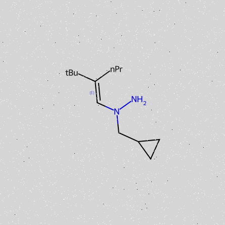 CCC/C(=C\N(N)CC1CC1)C(C)(C)C